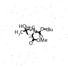 COC(=O)[C@H](CC(C)(C)O)N(C)C(=O)OC(C)(C)C